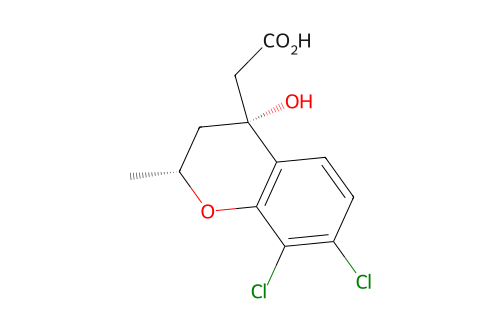 C[C@@H]1C[C@@](O)(CC(=O)O)c2ccc(Cl)c(Cl)c2O1